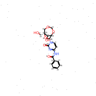 O=C(Nc1ccn([C@@H]2O[C@@]3(CO)COCOC2C3O)c(=O)n1)c1ccccc1